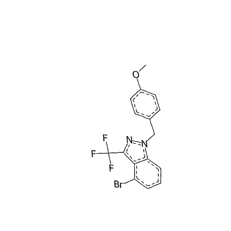 COc1ccc(Cn2nc(C(F)(F)F)c3c(Br)cccc32)cc1